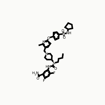 CCCCN(C(=O)Nc1cc(C(N)=O)c(F)cc1F)C1CCN(Cc2ccc(Oc3ccc(S(=O)(=O)NC4CCCC4)cc3)nc2C)CC1